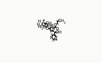 C=CCOC(=O)N1C[C@H](O[Si](C)(C)C(C)(C)C)C[C@H]1C(O)c1cncnc1